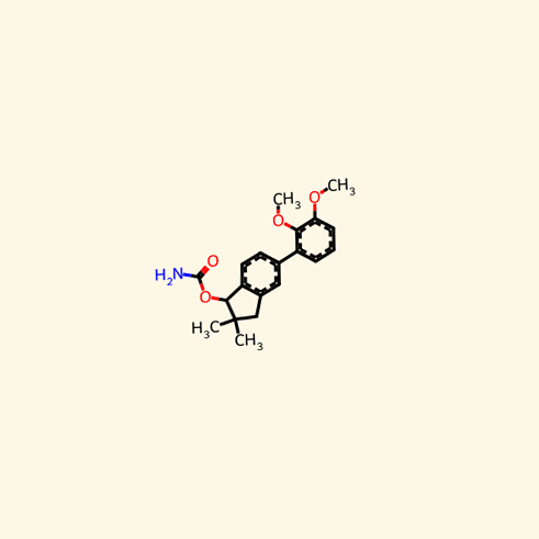 COc1cccc(-c2ccc3c(c2)CC(C)(C)C3OC(N)=O)c1OC